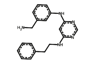 NCc1cccc(Nc2cc(NCCc3ccccc3)ncn2)c1